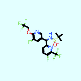 CC(C)(C)[S@@+]([O-])NC(c1cnc(OCC(F)(F)F)c(F)c1)c1ccc(F)c(C(F)(F)F)n1